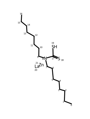 CCCCCCCCN(CCCCCCCC)C(=S)S.[La].[Zn]